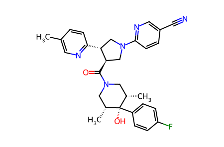 Cc1ccc([C@@H]2CN(c3ccc(C#N)cn3)C[C@H]2C(=O)N2C[C@@H](C)[C@](O)(c3ccc(F)cc3)[C@@H](C)C2)nc1